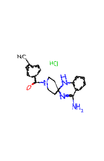 Cl.N#Cc1ccc(C(=O)N2CCC3(CC2)N=C(N)c2ccccc2N3)cc1